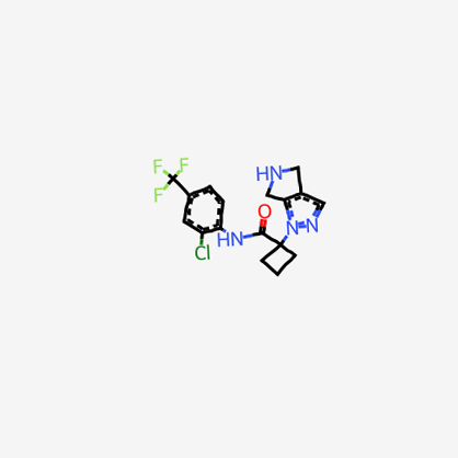 O=C(Nc1ccc(C(F)(F)F)cc1Cl)C1(n2ncc3c2CNC3)CCC1